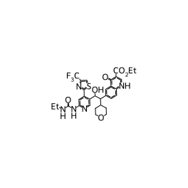 CCNC(=O)Nc1cc(-c2nc(C(F)(F)F)cs2)c(C(O)C(c2ccc3[nH]cc(C(=O)OCC)c(=O)c3c2)C2CCOCC2)cn1